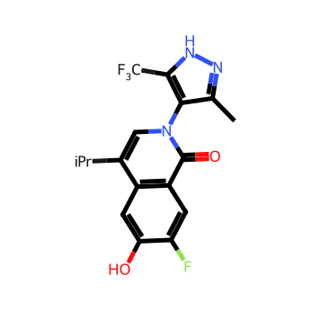 Cc1n[nH]c(C(F)(F)F)c1-n1cc(C(C)C)c2cc(O)c(F)cc2c1=O